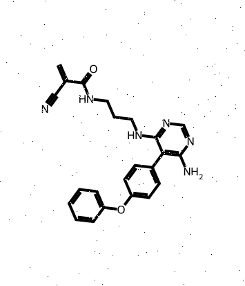 C=C(C#N)C(=O)NCCCNc1ncnc(N)c1-c1ccc(Oc2ccccc2)cc1